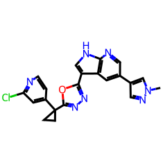 Cn1cc(-c2cnc3[nH]cc(-c4nnc(C5(c6ccnc(Cl)c6)CC5)o4)c3c2)cn1